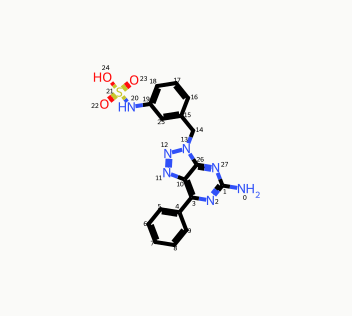 Nc1nc(-c2ccccc2)c2nnn(Cc3cccc(NS(=O)(=O)O)c3)c2n1